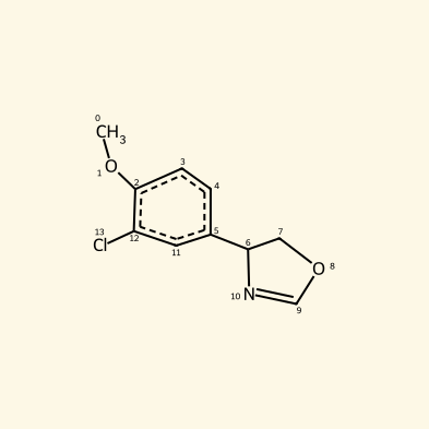 COc1ccc(C2COC=N2)cc1Cl